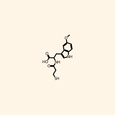 COc1ccc2[nH]cc(CC(NC(=O)CCS)C(=O)O)c2c1